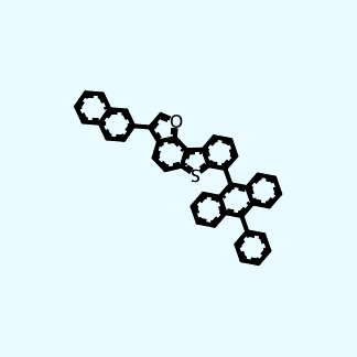 c1ccc(-c2c3ccccc3c(-c3cccc4c3sc3ccc5c(-c6ccc7ccccc7c6)coc5c34)c3ccccc23)cc1